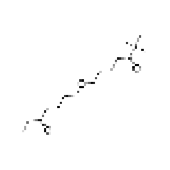 CCC(=O)CCCCOCCCCC(=O)C(C)(C)C